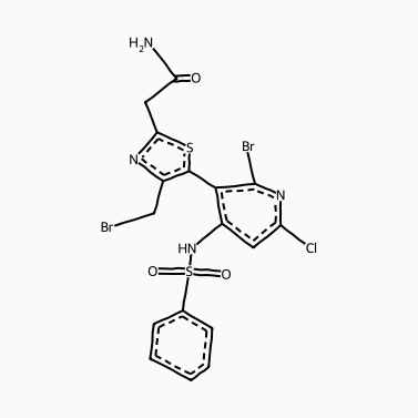 NC(=O)Cc1nc(CBr)c(-c2c(NS(=O)(=O)c3ccccc3)cc(Cl)nc2Br)s1